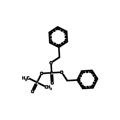 CP(C)(=O)OP(=O)(OCc1ccccc1)OCc1ccccc1